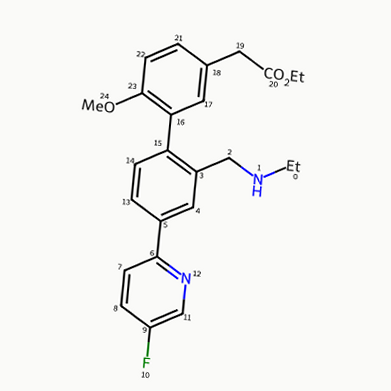 CCNCc1cc(-c2ccc(F)cn2)ccc1-c1cc(CC(=O)OCC)ccc1OC